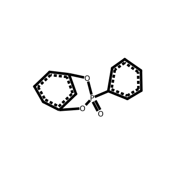 O=P1(c2ccccc2)Oc2cccc(c2)O1